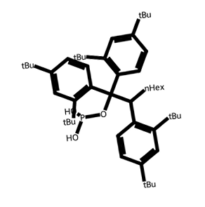 CCCCCCC(c1ccc(C(C)(C)C)cc1C(C)(C)C)C(OP(O)O)(c1ccc(C(C)(C)C)cc1C(C)(C)C)c1ccc(C(C)(C)C)cc1C(C)(C)C